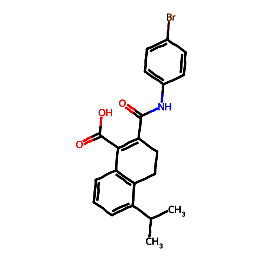 CC(C)c1cccc2c1CCC(C(=O)Nc1ccc(Br)cc1)=C2C(=O)O